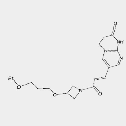 CCOCCCOC1CN(C(=O)C=Cc2cnc3c(c2)CCC(=O)N3)C1